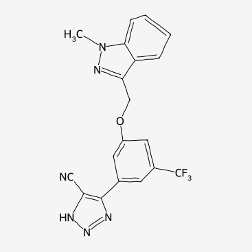 Cn1nc(COc2cc(-c3nn[nH]c3C#N)cc(C(F)(F)F)c2)c2ccccc21